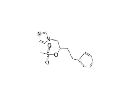 CS(=O)(=O)OC(CCc1ccccc1)Cn1ccnc1